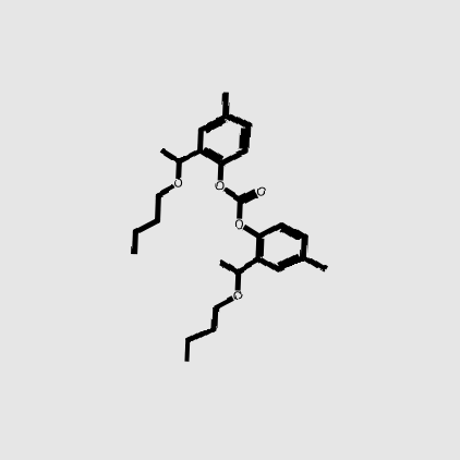 CCCCOC(C)c1cc(C)ccc1OC(=O)Oc1ccc(C)cc1C(C)OCCCC